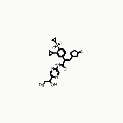 O=NCC(O)c1cnc(NC(=O)/C(=C/C2CCC(=O)C2)c2ccc(S(=O)(=O)C3CC3)c(C3CC3)c2)cn1